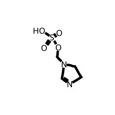 O=S(=O)(O)OCN1C=NCC1